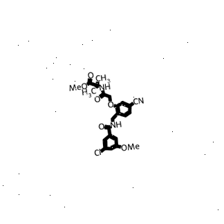 COC(=O)C(C)(C)NC(=O)COc1cc(C#N)ccc1CNC(=O)c1cc(Cl)cc(OC)c1